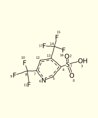 O=S(=O)(O)c1cnc(C(F)(F)F)cc1C(F)(F)F